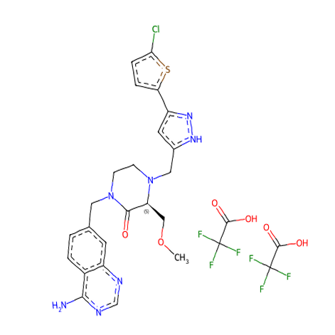 COC[C@H]1C(=O)N(Cc2ccc3c(N)ncnc3c2)CCN1Cc1cc(-c2ccc(Cl)s2)n[nH]1.O=C(O)C(F)(F)F.O=C(O)C(F)(F)F